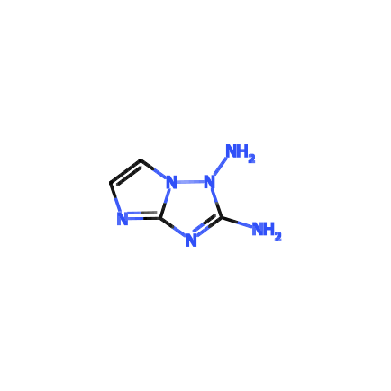 Nc1nc2nccn2n1N